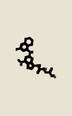 CNc1cc(Nc2cc(F)cc3c2OCCO3)nc2c(NC(=O)NCC(N)=O)cnn12